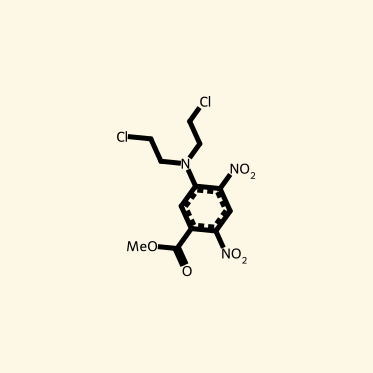 COC(=O)c1cc(N(CCCl)CCCl)c([N+](=O)[O-])cc1[N+](=O)[O-]